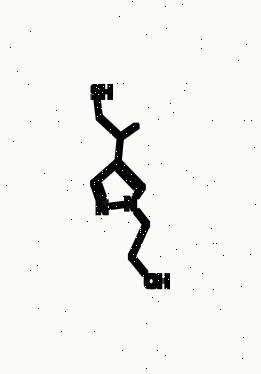 CC(CS)c1cnn(CCO)c1